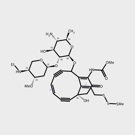 CCN[C@H]1CO[C@@H](O[C@H]2[C@H](OC3C#C/C=C\C#C[C@]4(O)CC(=O)C(NC(=O)OC)=C3/C4=C/CSSSC)O[C@H](C)[C@@H](N)[C@@H]2O)C[C@@H]1OC